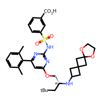 Cc1cccc(C)c1-c1cc(OC[C@@H](CC(C)(C)C)NC2CC3(C2)CC2(C3)OCCO2)nc(NS(=O)(=O)c2cccc(C(=O)O)c2)n1